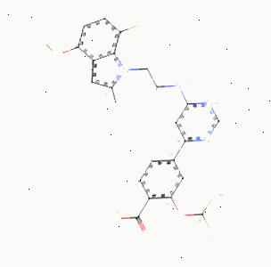 COc1ccc(F)c2c1cc(C)n2CCNc1cc(-c2ccc(C(=O)O)c(OC(F)F)c2)ncn1